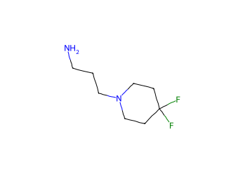 NCCCN1CCC(F)(F)CC1